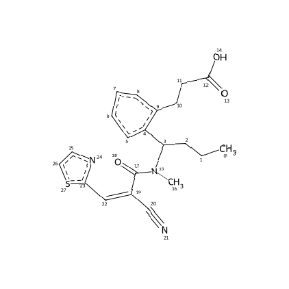 CCCC(c1ccccc1CCC(=O)O)N(C)C(=O)/C(C#N)=C\c1nccs1